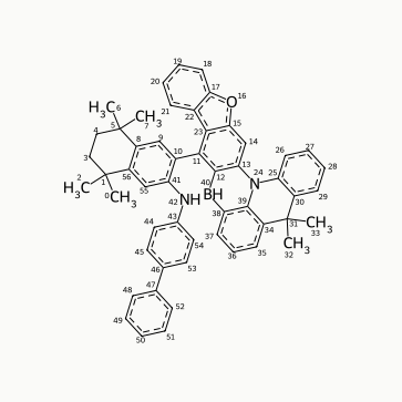 CC1(C)CCC(C)(C)c2cc(-c3c4c(cc5oc6ccccc6c35)N3c5ccccc5C(C)(C)c5cccc(c53)B4)c(Nc3ccc(-c4ccccc4)cc3)cc21